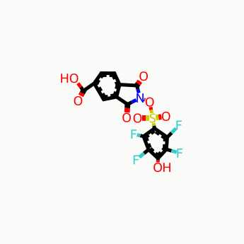 O=C(O)c1ccc2c(c1)C(=O)N(OS(=O)(=O)c1c(F)c(F)c(O)c(F)c1F)C2=O